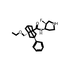 CCOC[C@]12CC3CC1(C(=O)N[C@@H]1CCNC[C@@H]1F)C[C@]3(c1ccccc1)C2